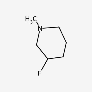 CN1CCCC(F)C1